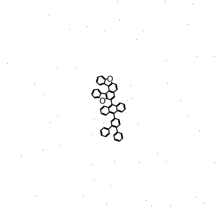 c1ccc(-c2ccc(-c3c4ccccc4c(-c4cc5ccc6oc7ccccc7c6c5c5c4oc4ccccc45)c4ccccc34)cc2-c2ccccc2)cc1